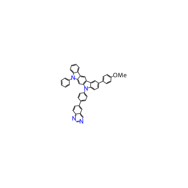 COc1ccc(-c2ccc3c(c2)c2cc4c5ccccc5n(-c5ccccc5)c4cc2n3-c2ccc(-c3ccc4ncncc4c3)cc2)cc1